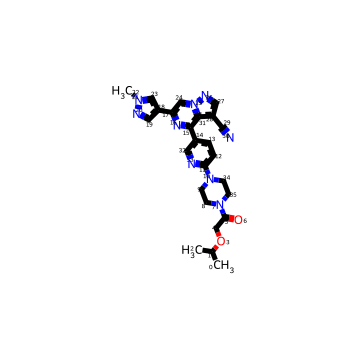 CC(C)OCC(=O)N1CCN(c2ccc(-c3nc(-c4cnn(C)c4)cn4ncc(C#N)c34)cn2)CC1